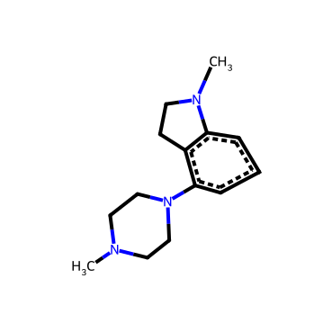 CN1CCN(c2cccc3c2CCN3C)CC1